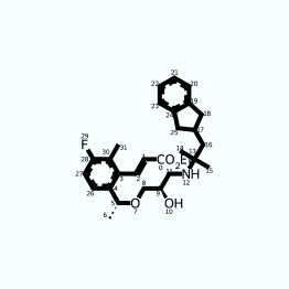 CCOC(=O)/C=C/c1c([C@@H](C)OC[C@H](O)CNC(C)(C)CC2Cc3ccccc3C2)ccc(F)c1C